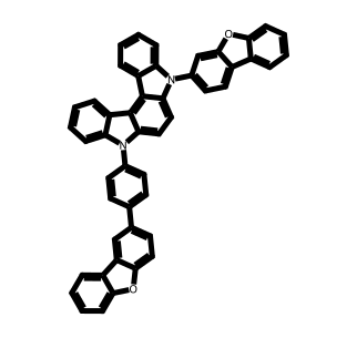 c1ccc2c(c1)oc1cc(-n3c4ccccc4c4c5c6ccccc6n(-c6ccc(-c7ccc8oc9ccccc9c8c7)cc6)c5ccc43)ccc12